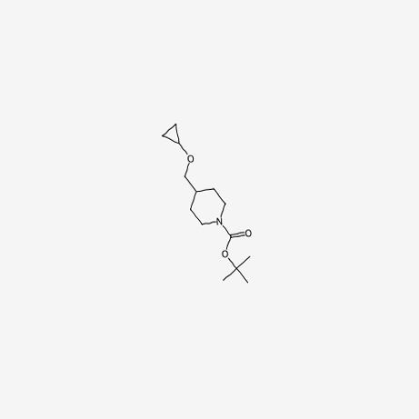 CC(C)(C)OC(=O)N1CCC(COC2CC2)CC1